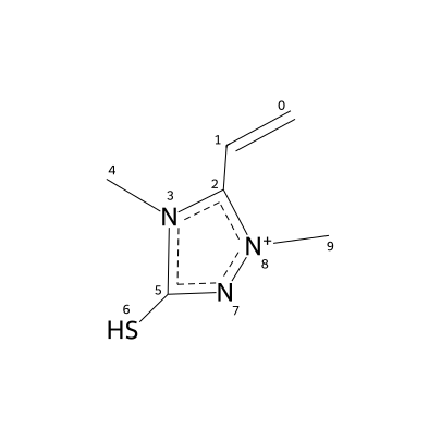 C=Cc1n(C)c(S)n[n+]1C